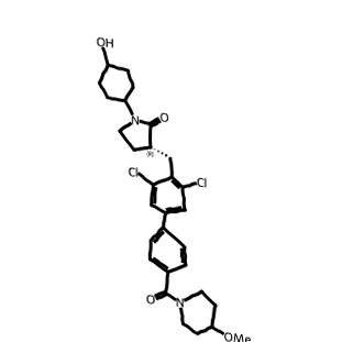 COC1CCN(C(=O)c2ccc(-c3cc(Cl)c(C[C@@H]4CCN(C5CCC(O)CC5)C4=O)c(Cl)c3)cc2)CC1